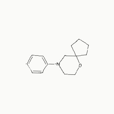 [c]1ccc(N2CCOC3(CCCC3)C2)cc1